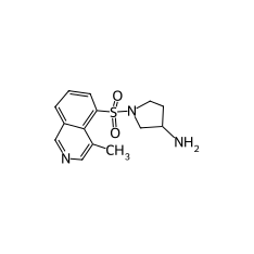 Cc1cncc2cccc(S(=O)(=O)N3CCC(N)C3)c12